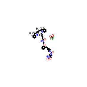 CN1/C(=C\C=C\C2=[N+](CCCCCC(=O)NCCOc3ccccc3CC3CC4(C3)CN(C(=O)N3CC5(COC(=O)N5)C3)C4)c3ccccc3C2(C)C)C(C)(C)c2ccccc21.O=C([O-])C(F)(F)F